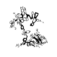 C=C1CC2=C(C=CCC2)CN(C(=O)CCC(=O)N[C@H](C(=O)N[C@@H](CCCNC(N)=O)C(=O)Nc2ccc(COC(=O)NCc3ccc4c(c3)c(C(C)(C)C(NC)C(=O)N[C@H](C(=O)N(C)[C@H](/C=C(\C)C(=O)O)C(C)C)C(C)(C)C)cn4C)cc2)C(C)C)c2ccccc21